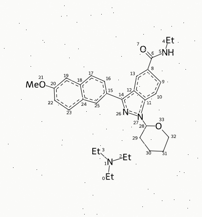 CCN(CC)CC.CCNC(=O)c1ccc2c(c1)c(-c1ccc3cc(OC)ccc3c1)nn2C1CCCCO1